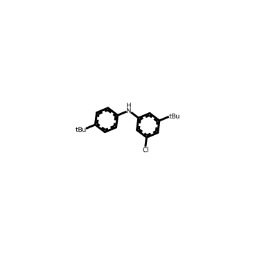 CC(C)(C)c1ccc(Nc2cc(Cl)cc(C(C)(C)C)c2)cc1